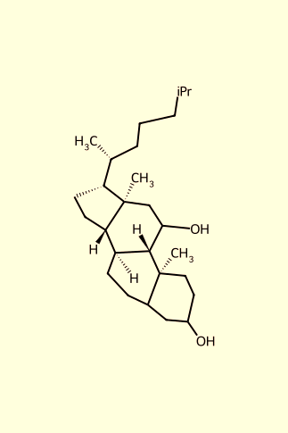 CC(C)CCC[C@@H](C)[C@H]1CC[C@H]2[C@@H]3CCC4CC(O)CC[C@]4(C)[C@H]3C(O)C[C@]12C